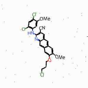 COc1cc(Nc2nc3cc4cc(OCCCCl)c(OC)cc4cc3cc2C#N)c(Cl)cc1Cl